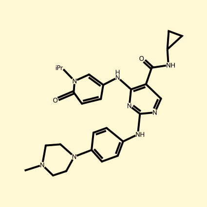 CC(C)n1cc(Nc2nc(Nc3ccc(N4CCN(C)CC4)cc3)ncc2C(=O)NC2CC2)ccc1=O